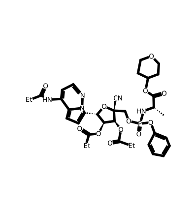 CCC(=O)Nc1ccnn2c([C@@H]3O[C@](C#N)(COP(=O)(N[C@@H](C)C(=O)OC4CCOCC4)Oc4ccccc4)[C@@H](OC(=O)CC)[C@H]3OC(=O)CC)ccc12